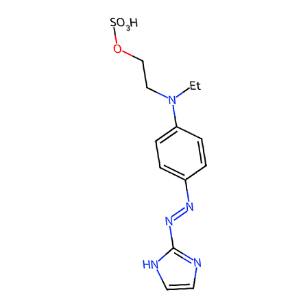 CCN(CCOS(=O)(=O)O)c1ccc(N=Nc2ncc[nH]2)cc1